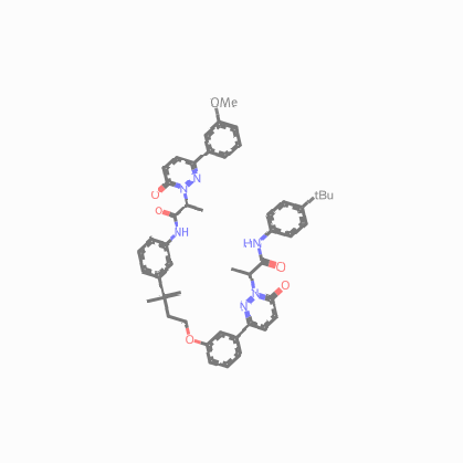 COc1cccc(-c2ccc(=O)n(C(C)C(=O)Nc3cccc(C(C)(C)CCOc4cccc(-c5ccc(=O)n(C(C)C(=O)Nc6ccc(C(C)(C)C)cc6)n5)c4)c3)n2)c1